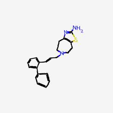 Nc1nc2c(s1)CCN(CC=Cc1ccccc1-c1ccccc1)CC2